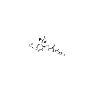 CCOC(=O)COc1ccc(CBr)cc1C(F)(F)F